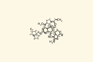 C=CC(=O)N1CCC(N(C)c2nc(OC[C@@]34CCCN3C[C@H](F)C4)nc3c(F)c(-c4ccc(F)c5sc(N)c(C#N)c45)c(Cl)cc23)C1CC